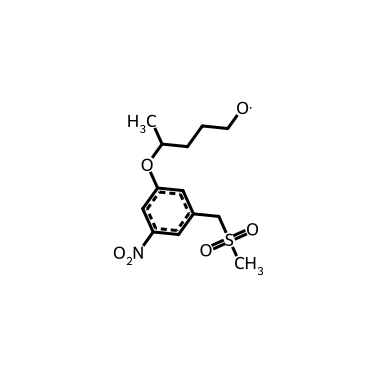 CC(CCC[O])Oc1cc(CS(C)(=O)=O)cc([N+](=O)[O-])c1